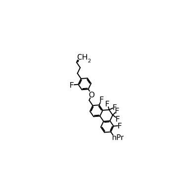 C=CCCc1ccc(OCc2ccc3c(c2F)C(F)(F)C(F)(F)c2c-3ccc(CCC)c2F)cc1F